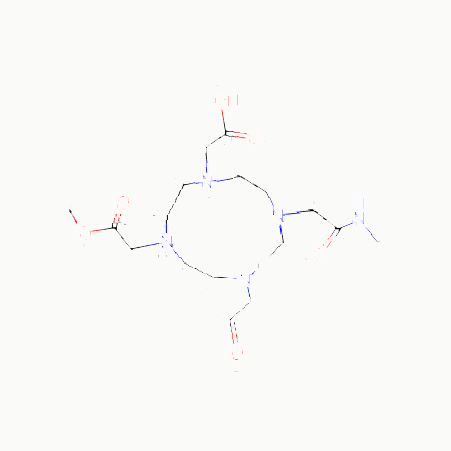 CNC(=O)CN1CCN(CC=O)CCN(CC(=O)OC)CCN(CC(=O)O)CC1